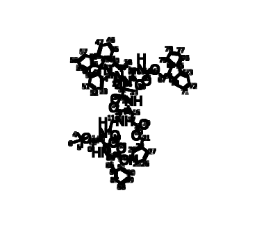 C[C@@H](OC(C)(C)C)[C@H](NC(=O)CNC(=O)[C@H](CCC(=O)OCc1ccccc1)NC(=O)C(C)(C)NC(=O)[C@H](Cc1cn(C(c2ccccc2)(c2ccccc2)c2ccccc2)cn1)NC(=O)OCC1c2ccccc2-c2ccccc21)C(=O)N[C@@H](Cc1ccccc1)C(=O)O